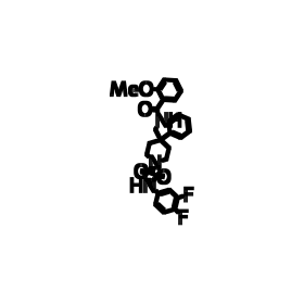 COc1ccccc1C(=O)NCC1(c2ccccc2)CCN(S(=O)(=O)Nc2ccc(F)c(F)c2)CC1